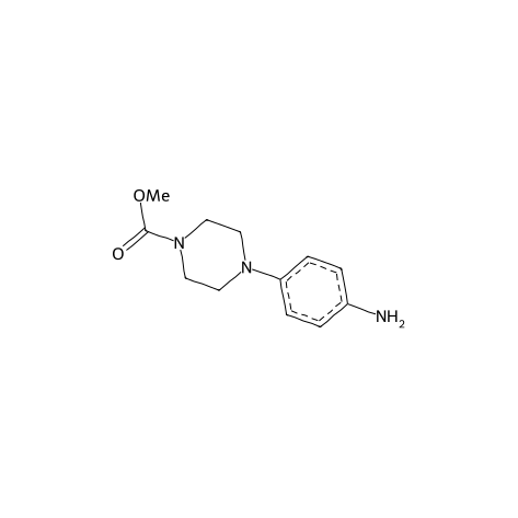 COC(=O)N1CCN(c2ccc(N)cc2)CC1